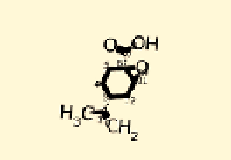 C=C(C)[C@@H]1CC[C@@]2(C(=O)O)OC2C1